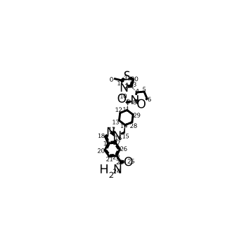 Cc1nc([C@@H]2CCON2C(=O)[C@H]2CC[C@H](Cn3ncc4ccc(C(N)=O)cc43)CC2)cs1